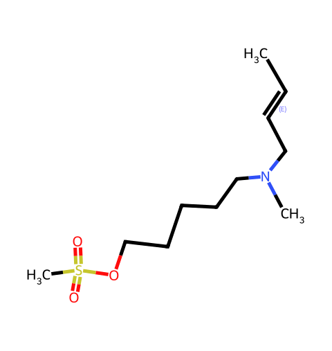 C/C=C/CN(C)CCCCCOS(C)(=O)=O